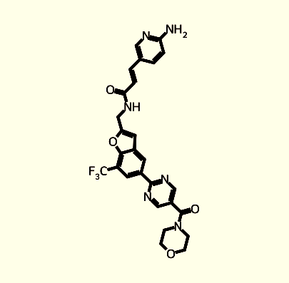 Nc1ccc(C=CC(=O)NCc2cc3cc(-c4ncc(C(=O)N5CCOCC5)cn4)cc(C(F)(F)F)c3o2)cn1